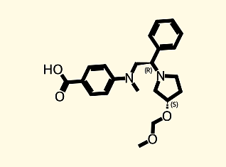 COCO[C@H]1CCN([C@@H](CN(C)c2ccc(C(=O)O)cc2)c2ccccc2)C1